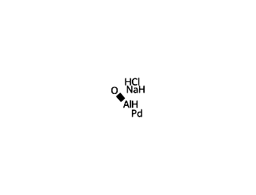 Cl.[NaH].[O]=[AlH].[Pd]